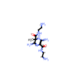 CC1(C(=O)NCCN)NC(N)=C(C(=O)NCCN)N=C1N